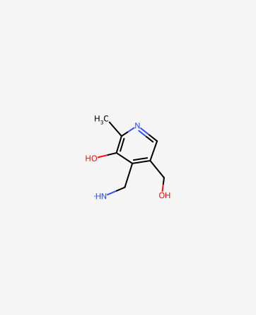 Cc1ncc(CO)c(C[NH])c1O